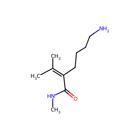 CNC(=O)C(CCCCN)=C(C)C